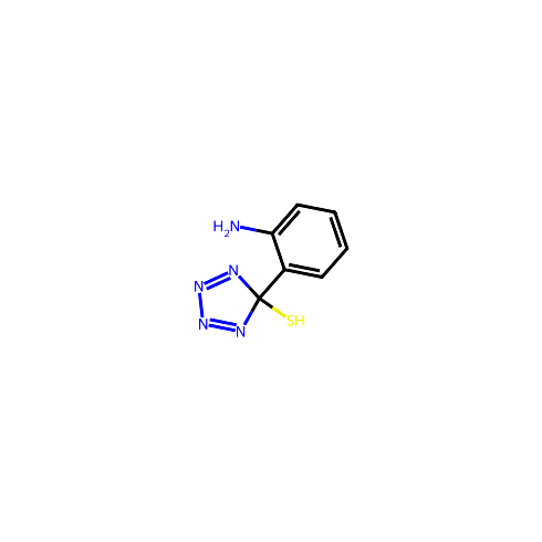 Nc1ccccc1C1(S)N=NN=N1